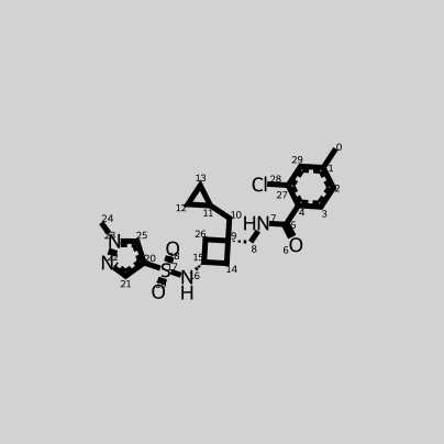 Cc1ccc(C(=O)NC[C@]2(CC3CC3)C[C@H](NS(=O)(=O)c3cnn(C)c3)C2)c(Cl)c1